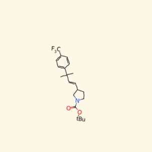 CC(C)(C)OC(=O)N1CCC(C=CC(C)(C)c2ccc(C(F)(F)F)cc2)C1